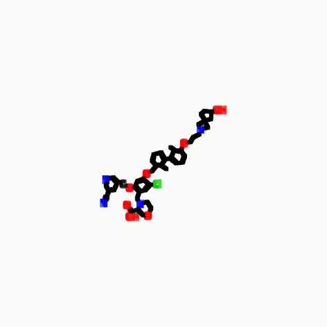 Cc1c(COc2cc(OCc3cncc(C#N)c3)c(CN3CCOC[C@H]3C(=O)O)cc2Cl)cccc1-c1cccc(OCCCN2CC3(CCC(O)C3)C2)c1C